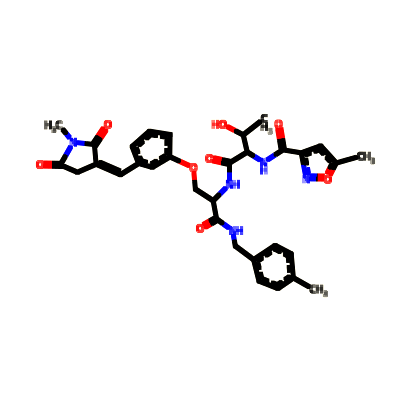 Cc1ccc(CNC(=O)C(COc2cccc(C=C3CC(=O)N(C)C3=O)c2)NC(=O)C(NC(=O)c2cc(C)on2)C(C)O)cc1